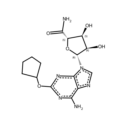 NC(=O)[C@H]1O[C@@H](n2cnc3c(N)nc(OC4CCCC4)nc32)[C@H](O)[C@@H]1O